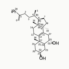 C=C(CC[C@@H](C)[C@H]1CC[C@@]2(C)C3=C(CC[C@]12C)[C@@]1(C)CC[C@H](O)CC1[C@@H](O)C3)C(C)C